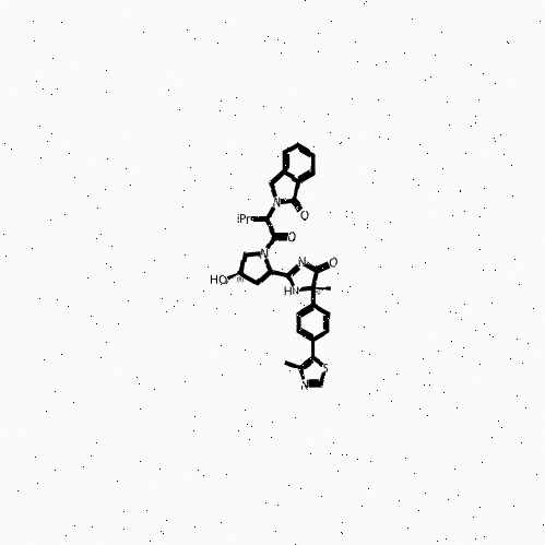 Cc1ncsc1-c1ccc([C@]2(C)NC(C3C[C@@H](O)CN3C(=O)C(C(C)C)N3Cc4ccccc4C3=O)=NC2=O)cc1